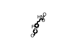 O=CNC(=O)CCCc1ccc(N2CCC(C=O)CC2)c(F)c1